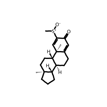 C[S+]([O-])C1=C[C@@]2(C)C(=CC1=O)CC[C@H]1[C@@H]3CCC[C@@]3(C)CC[C@@H]12